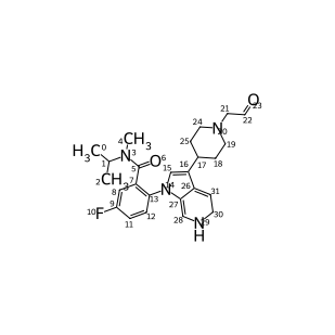 CC(C)N(C)C(=O)c1cc(F)ccc1-n1cc(C2CCN(CC=O)CC2)c2c1=CNCC=2